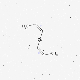 C/C=[CH]\[Cu]/[CH]=C\C